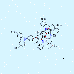 CCN(c1cc(C(C)(C)C)cc2c1B(C(C)[C@@H](C)n1c3ccc(C(C)(C)C)cc3c3cc(C(C)(C)C)ccc31)c1ccc(-c3ccc(-n4c5ccc(C(C)(C)C)cc5c5cc(C(C)(C)C)ccc54)cc3)cc1N2c1c(C2CCCCC2)cccc1C1CCCCC1)c1c(C2CCCCC2)cccc1C1CCCCC1